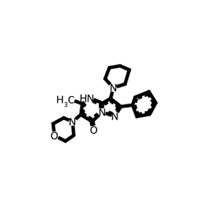 Cc1[nH]c2c(N3CCCCC3)c(-c3ccccc3)nn2c(=O)c1N1CCOCC1